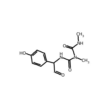 CNC(=O)N(C)C(=O)NC([C]=O)c1ccc(O)cc1